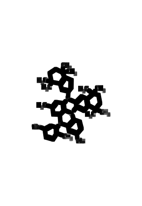 Cc1cc2c3c(c1)N(c1cc(C(C)(C)C)ccc1C)c1cc(C(C)(C)C)ccc1B3c1cc3c(cc1N2c1ccc2c(c1)C(C)(C)CCC2(C)C)C(C)(C)CCC3(C)C